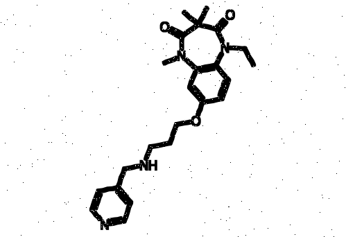 CCN1C(=O)C(C)(C)C(=O)N(C)c2cc(OCCCNCc3ccncc3)ccc21